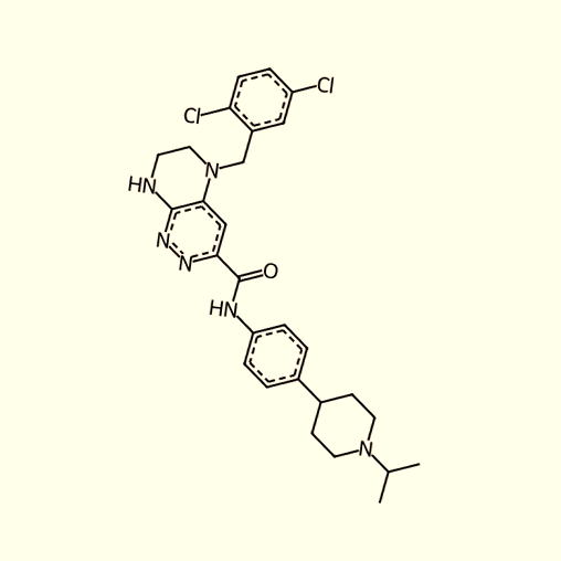 CC(C)N1CCC(c2ccc(NC(=O)c3cc4c(nn3)NCCN4Cc3cc(Cl)ccc3Cl)cc2)CC1